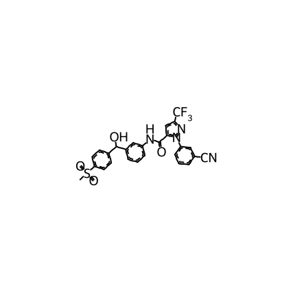 CS(=O)(=O)c1ccc(C(O)c2cccc(NC(=O)c3cc(C(F)(F)F)nn3-c3cccc(C#N)c3)c2)cc1